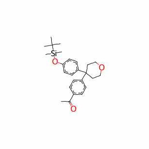 CC(=O)c1ccc(C2(c3ccc(O[Si](C)(C)C(C)(C)C)cc3)CCOCC2)cc1